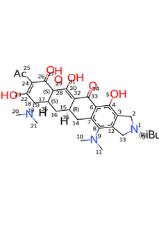 CC[C@@H](C)N1Cc2c(O)c3c(c(N(C)C)c2C1)C[C@H]1C[C@H]2[C@H](N(C)C)C(O)=C(C(C)=O)C(=O)[C@@]2(O)C(O)=C1C3=O